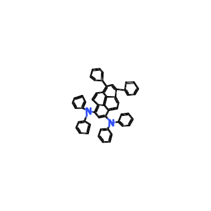 c1ccc(-c2cc(-c3ccccc3)c3ccc4c(N(c5ccccc5)c5ccccc5)cc(N(c5ccccc5)c5ccccc5)c5ccc2c3c54)cc1